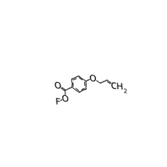 C=CCOc1ccc(C(=O)OF)cc1